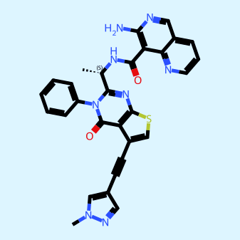 C[C@H](NC(=O)c1c(N)ncc2cccnc12)c1nc2scc(C#Cc3cnn(C)c3)c2c(=O)n1-c1ccccc1